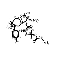 C[C@@H](CN1CC[C@](O)(c2ccc(Cl)cc2)C(C)(C)C1)C(C=O)NC(=O)NCC(C)(C)OC(=O)CN